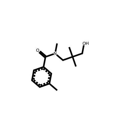 Cc1cccc(C(=O)N(C)CC(C)(C)CO)c1